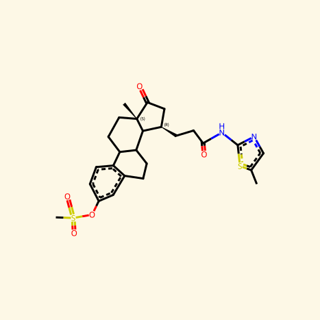 Cc1cnc(NC(=O)CC[C@@H]2CC(=O)[C@@]3(C)CCC4c5ccc(OS(C)(=O)=O)cc5CCC4C23)s1